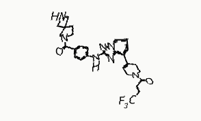 O=C(CCC(F)(F)F)N1CC=C(c2cccn3nc(Nc4ccc(C(=O)N5CCC6(CNC6)C5)cc4)nc23)CC1